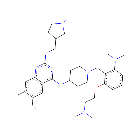 COc1cc2nc(NCC3CCN(C(=O)O)C3)nc(NC3CCN(Cc4c(OCCN(C)C)cccc4N(C)C)CC3)c2cc1OC